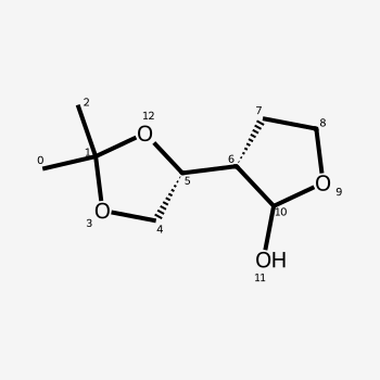 CC1(C)OC[C@@H]([C@@H]2CCOC2O)O1